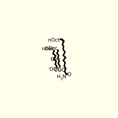 CCCCCCCC/C=C\CCCCCCCCCCCC(N)=O.CCCCCCCCCCCCCCCCCC(=O)[O-].CCCCCCCCCCCCCCCCCC(=O)[O-].[Ca+2]